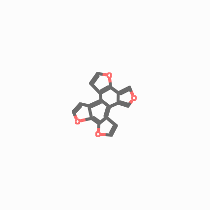 c1cc2c(o1)c1cocc1c1c3ccoc3c3occc3c21